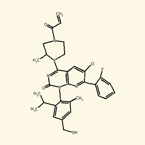 C=CC(=O)N1CCN(c2nc(=O)n(-c3c(C)cc(CO)cc3C(C)C)c3nc(-c4ccccc4F)c(Cl)cc23)C(C)C1